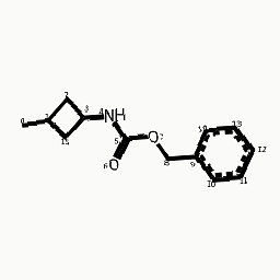 CC1CC(NC(=O)OCc2ccccc2)C1